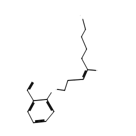 CCCCCC(C)=CCCOc1ccccc1C=O